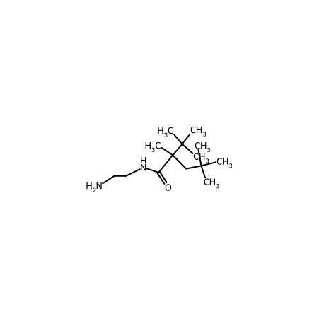 CC(C)(C)CC(C)(C(=O)NCCN)C(C)(C)C